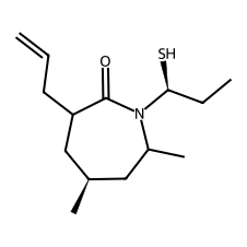 C=CCC1C[C@H](C)CC(C)N([C@@H](S)CC)C1=O